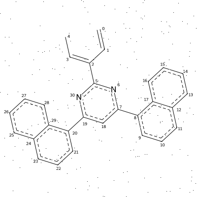 C=C/C(=C\C)c1nc(-c2cccc3ccccc23)cc(-c2cccc3ccccc23)n1